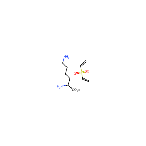 C=CS(=O)(=O)C=C.NCCCC[C@H](N)C(=O)O